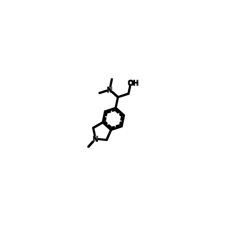 CN1Cc2ccc(C(CO)N(C)C)cc2C1